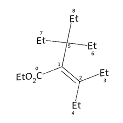 CCOC(=O)C(=C(CC)CC)C(CC)(CC)CC